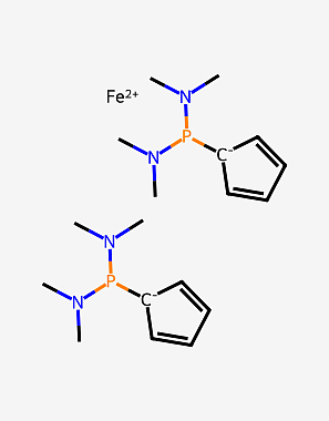 CN(C)P([c-]1cccc1)N(C)C.CN(C)P([c-]1cccc1)N(C)C.[Fe+2]